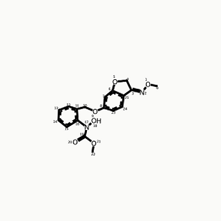 CON=C1COc2cc(OCc3ccccc3N(O)C(=O)OC)ccc21